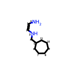 N/C=C\NCC1CCCCCC1